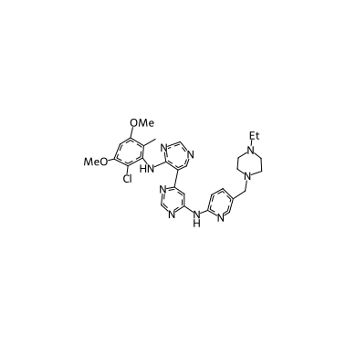 CCN1CCN(Cc2ccc(Nc3cc(-c4cncnc4Nc4c(C)c(OC)cc(OC)c4Cl)ncn3)nc2)CC1